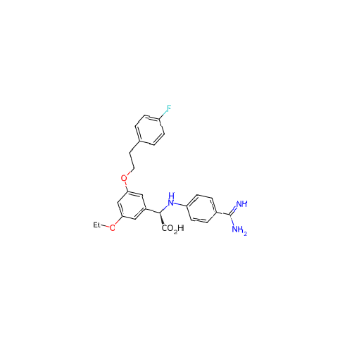 CCOc1cc(OCCc2ccc(F)cc2)cc([C@@H](Nc2ccc(C(=N)N)cc2)C(=O)O)c1